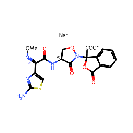 CO/N=C(\C(=O)N[C@H]1CON(C2(C(=O)[O-])OC(=O)c3ccccc32)C1=O)c1csc(N)n1.[Na+]